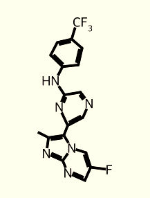 Cc1nc2ncc(F)cn2c1-c1cncc(Nc2ccc(C(F)(F)F)cc2)n1